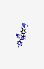 C#N.C#N.Cc1ncc(C(=O)Nc2nc3ccc(C=NN)cc3s2)cn1